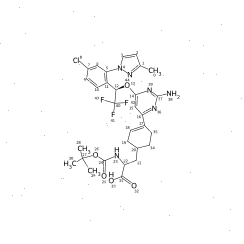 Cc1ccn(-c2cc(Cl)ccc2[C@@H](Oc2cc(C3=CCC(CC(NC(=O)OC(C)(C)C)C(=O)O)CC3)nc(N)n2)C(F)(F)F)n1